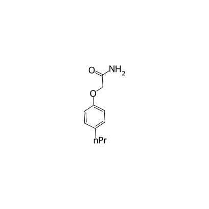 CCCc1ccc(OCC(N)=O)cc1